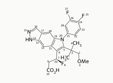 COCC(C)(C)c1c([C@@H](F)CC(=O)O)c2cc3[nH]ncc3cc2n1-c1ccc(F)c(F)c1